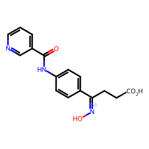 O=C(O)CC/C(=N/O)c1ccc(NC(=O)c2cccnc2)cc1